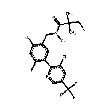 CC(C)(CCl)C(=O)N(O)Cc1cc(-c2ncc(C(F)(F)F)cc2Cl)c(F)cc1Cl